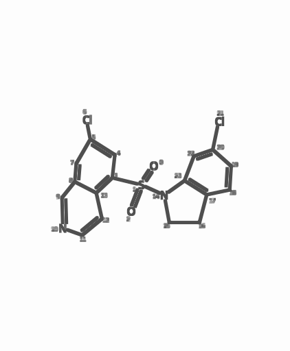 O=S(=O)(c1cc(Cl)cc2cnccc12)N1CCc2ccc(Cl)cc21